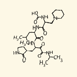 CC(C)CC(NC(=O)C(CN1CCCCC1)NC(=O)O)C(=O)NC(C[C@@H]1CCNC1=O)C(=O)C(=O)NC(C)C